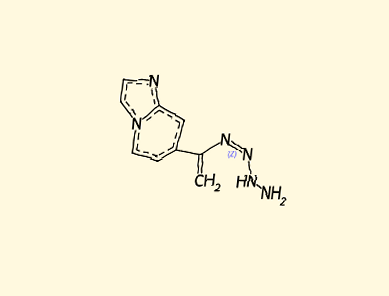 C=C(/N=N\NN)c1ccn2ccnc2c1